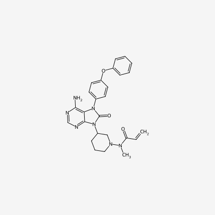 C=CC(=O)N(C)N1CCCC(n2c(=O)n(-c3ccc(Oc4ccccc4)cc3)c3c(N)ncnc32)C1